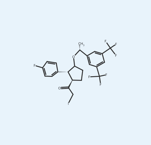 C[C@@H](OC1CC[C@@H](C(=O)CI)[C@@H]1c1ccc(F)cc1)c1cc(C(F)(F)F)cc(C(F)(F)F)c1